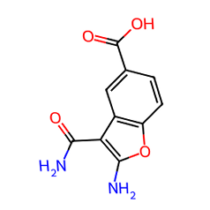 NC(=O)c1c(N)oc2ccc(C(=O)O)cc12